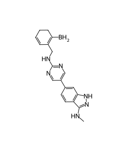 BC1=C(CNc2ncc(-c3ccc4c(NC)n[nH]c4c3)cn2)C=CCC1